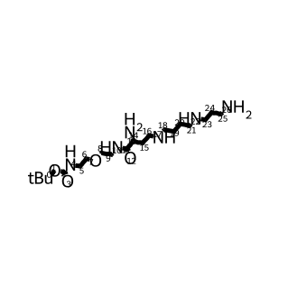 CC(C)(C)OC(=O)NCCOCCNC(=O)C(N)CCNCCCCNCCCN